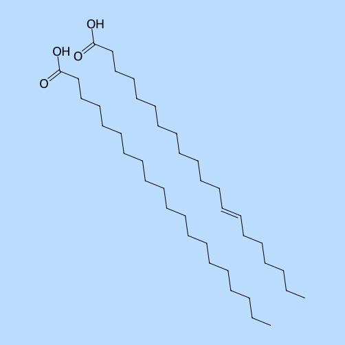 CCCCCCC=CCCCCCCCCCCCC(=O)O.CCCCCCCCCCCCCCCCCCCC(=O)O